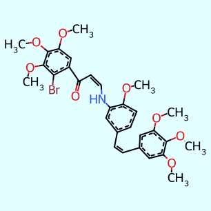 COc1ccc(/C=C\c2cc(OC)c(OC)c(OC)c2)cc1N/C=C\C(=O)c1cc(OC)c(OC)c(OC)c1Br